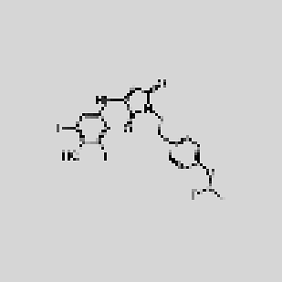 O=C1C=C(Nc2cc(F)c(O)c(F)c2)C(=O)N1CCc1ccc(OC(F)F)cc1